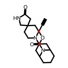 C#CCOC(=O)N1C2CCCC1CC(N1CCC3(CC1)CNC(=O)C3)C2